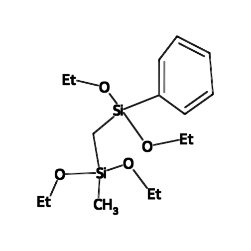 CCO[Si](C)(C[Si](OCC)(OCC)c1ccccc1)OCC